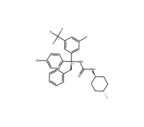 C[C@H]1CC[C@H](NC(=O)N[C@@](Cc2ccccc2)(c2cc(F)cc(C(F)(F)F)c2)c2ccc(Cl)cn2)CC1